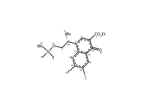 CCOC(=O)c1cn([C@H](CO[Si](C)(C)C(C)(C)C)C(C)(C)C)c2nc(F)c(I)cc2c1=O